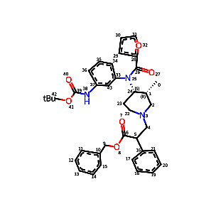 C[C@@H]1CN(CC(C(=O)OCc2ccccc2)c2ccccc2)CC[C@@H]1N(C(=O)c1ccco1)c1cccc(NC(=O)OC(C)(C)C)c1